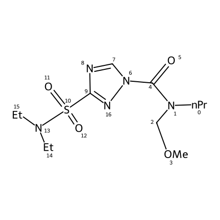 CCCN(COC)C(=O)n1cnc(S(=O)(=O)N(CC)CC)n1